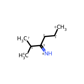 C[CH]CC(=N)C(C)C